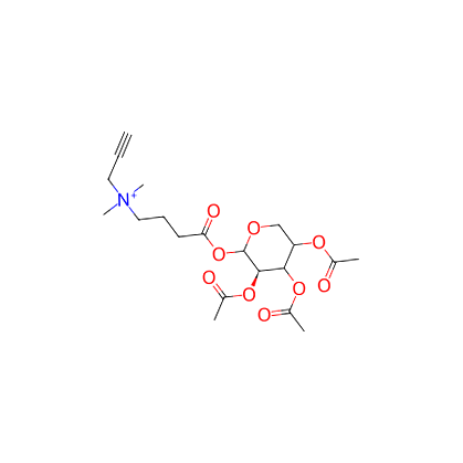 C#CC[N+](C)(C)CCCC(=O)OC1OCC(OC(C)=O)C(OC(C)=O)[C@H]1OC(C)=O